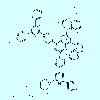 CC12C=CC=CC1C=CCC2c1cc(-c2cccc3ccccc23)c2nc(-c3ccc(-c4cc(-c5ccccc5)nc(-c5ccccc5)c4)cc3)nc(-c3ccc(-c4cc(-c5ccccc5)cc(-c5ccccc5)n4)cc3)c2c1